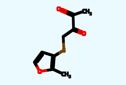 CC(=O)C(=O)CSc1ccoc1C